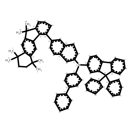 CC1(C)CCC(C)(C)c2cc3c(cc21)-c1c(-c2ccc4cc(N(c5ccc(-c6ccccc6)cc5)c5ccc6c(c5)C(c5ccccc5)(c5ccccc5)c5ccccc5-6)ccc4c2)cccc1C3(C)C